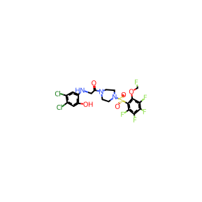 O=C(CNc1cc(Cl)c(Cl)cc1O)N1CCN(S(=O)(=O)c2c(F)c(F)c(F)c(F)c2OCF)CC1